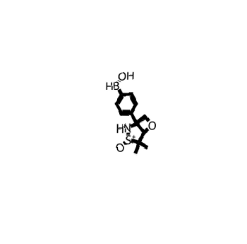 CC1(C)C2OCC2(c2ccc(BO)cc2)N[S+]1[O-]